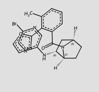 Cc1cccc(C(=O)N2[C@@H]3CC[C@H]2[C@H](Nc2cnc(Br)cn2)C3)c1-c1ncco1